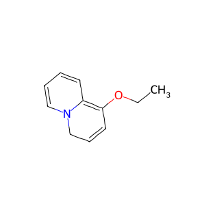 CCOC1=C2C=CC=CN2CC=C1